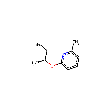 Cc1cccc(O[C@@H](C)CC(C)C)n1